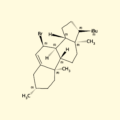 CC[C@H](C)[C@H]1CC[C@H]2[C@@H]3[C@H](Br)C=C4C[C@@H](C)CC[C@]4(C)[C@H]3CC[C@]12C